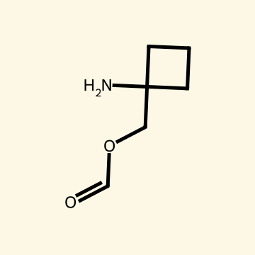 NC1(COC=O)CCC1